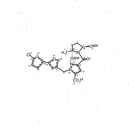 CO[C@@H]1CC[C@@](C)(OC)N1C(=O)c1cc(C(=O)O)n(Cc2cc(-c3ccc(Cl)s3)on2)n1